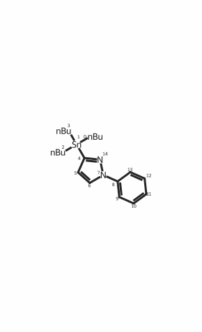 CCC[CH2][Sn]([CH2]CCC)([CH2]CCC)[c]1ccn(-c2ccccc2)n1